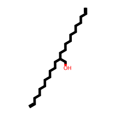 C=CCCCCCCCCCC(CO)CCCCCCCCCC=C